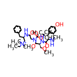 CC[N+](C)(C)CC(Cc1ccccc1)NC(=O)CN(C(=O)OC(C)(C)C)C(=O)[C@H](COC)NC(=O)[C@H](Cc1ccc(O)cc1)NC